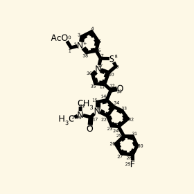 CC(=O)OC[n+]1cccc(C2SCc3c(C(=O)c4cn(C(=O)N(C)C)c5cc(-c6ccc(F)cc6)ccc45)ccn32)c1